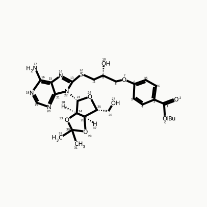 CC(C)COC(=O)c1ccc(OC[C@@H](O)CSc2nc3c(N)ncnc3n2[C@@H]2O[C@H](CO)[C@H]3OC(C)(C)O[C@H]32)cc1